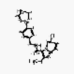 CCc1nc2ccc(Cl)cn2c1C(=O)NCc1ccc(N2CCNC=N2)cc1